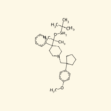 COc1ccc(C2(CN3CCC(c4ccccc4)(C(C)(C)O[SiH2]C(C)(C)C)CC3)CCCC2)cc1